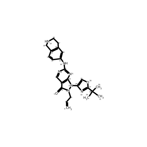 C=CCn1c(=O)c2cnc(Nc3ccc4c(c3)CCNC4)nc2n1-c1coc(C(C)(C)C)n1